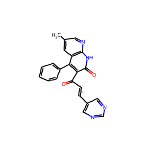 Cc1cnc2[nH]c(=O)c(C(=O)/C=C/c3cncnc3)c(-c3ccccc3)c2c1